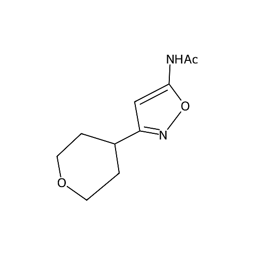 CC(=O)Nc1cc(C2CCOCC2)no1